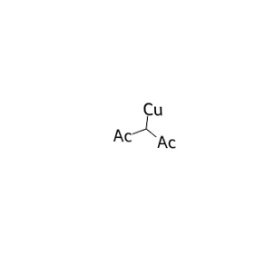 CC(=O)[CH]([Cu])C(C)=O